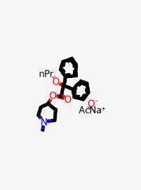 CC(=O)[O-].CCCOC(C(=O)OC1CCN(C)CC1)(c1ccccc1)c1ccccc1.[Na+]